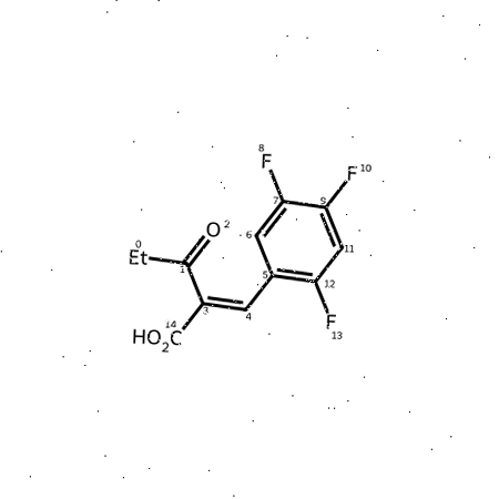 CCC(=O)C(=Cc1cc(F)c(F)cc1F)C(=O)O